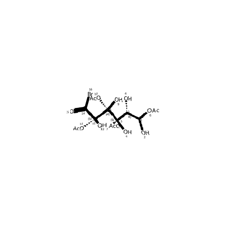 CC(=O)OC(O)[C@@H](O)[C@](O)(OC(C)=O)[C@@](O)(OC(C)=O)[C@](O)(OC(C)=O)C(=O)Br